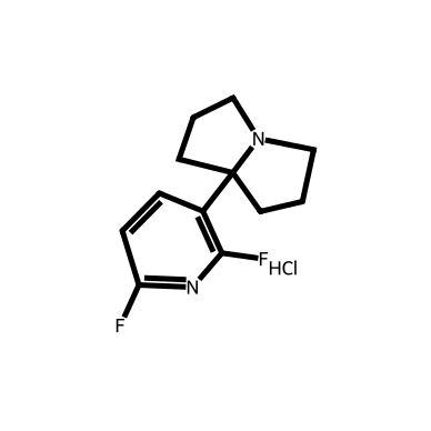 Cl.Fc1ccc(C23CCCN2CCC3)c(F)n1